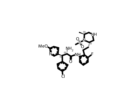 COc1ccc([C@H](c2ccc(Cl)cc2)[C@H](N)C(=O)Nc2cccc(F)c2CC[C@H]2CNC[C@H](C)N2S(C)(=O)=O)cn1